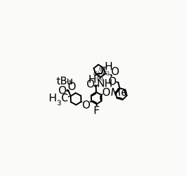 COc1cc(F)c(O[C@H]2CC[C@@](C)(C(=O)OC(C)(C)C)CC2)cc1C(=O)N[C@@H]1[C@H]2CC[C@H](C2)[C@@H]1C(=O)OCc1ccccc1